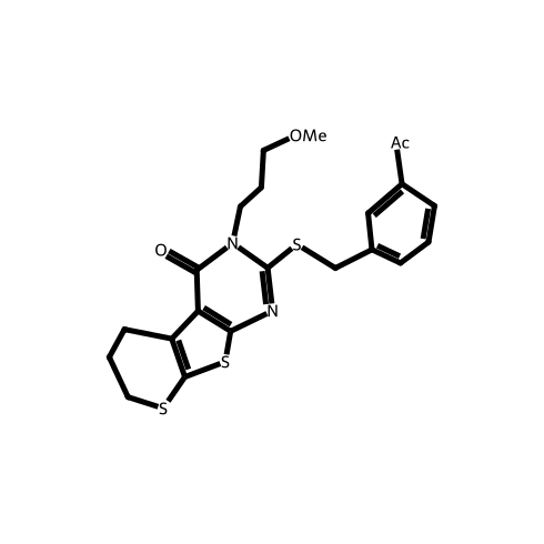 COCCCn1c(SCc2cccc(C(C)=O)c2)nc2sc3c(c2c1=O)CCCS3